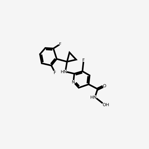 O=C(NO)c1cnc(NC2(c3c(F)cccc3F)CC2)c(F)c1